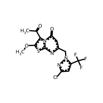 COc1sc2nc(Cn3nc(Cl)cc3C(F)(F)F)cc(=O)n2c1C(C)=O